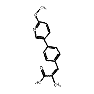 COc1ccc(-c2ccc(C=C(C)C(=O)O)cc2)cn1